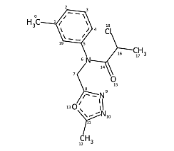 Cc1cccc(N(Cc2nnc(C)o2)C(=O)C(C)Cl)c1